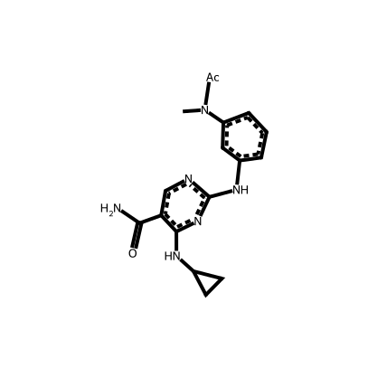 CC(=O)N(C)c1cccc(Nc2ncc(C(N)=O)c(NC3CC3)n2)c1